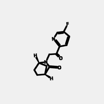 O=C(CN1C(=O)[C@@H]2CC[C@H]1C2)c1ccc(F)cn1